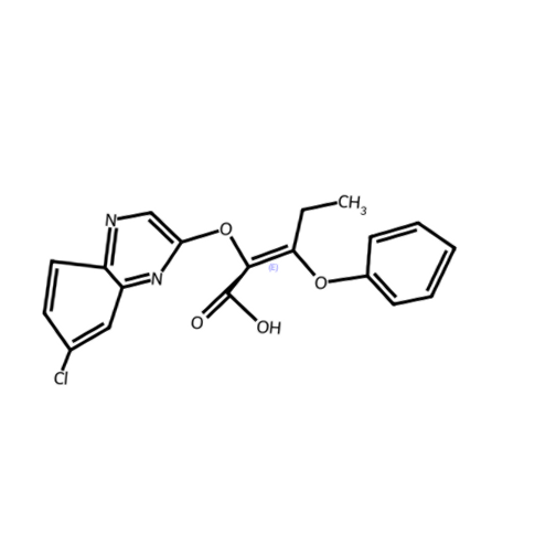 CC/C(Oc1ccccc1)=C(\Oc1cnc2ccc(Cl)cc2n1)C(=O)O